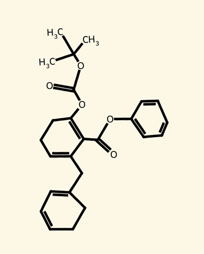 CC(C)(C)OC(=O)OC1=C(C(=O)Oc2ccccc2)C(CC2=CC=CCC2)=CCC1